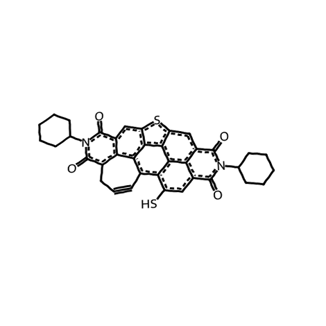 O=c1c2c3c(cc4sc5cc6c(=O)n(C7CCCCC7)c(=O)c7cc(S)c8c(c3c4c5c8c76)C#CC2)c(=O)n1C1CCCCC1